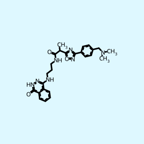 CC(C(=O)NCCCNc1n[nH]c(=O)c2ccccc12)c1nc(-c2ccc(CN(C)C)cc2)no1